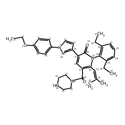 CCOc1ccc(-n2ccc(-c3cc(C(=O)N4CCNCC4)c(C=C(C)C)n(-c4c(CC)cccc4CC)c3=O)n2)cc1